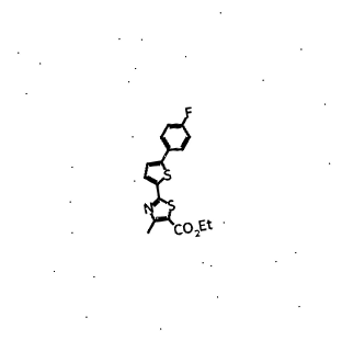 CCOC(=O)c1sc(-c2ccc(-c3ccc(F)cc3)s2)nc1C